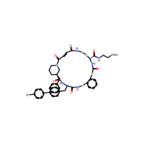 COCCNC(=O)[C@@H]1CCNC(=O)/C=C/C(=O)N2CCC[C@](Cc3ccccc3)(C2)C(=O)NC(Cc2ccc(-c3ccc(C(C)=O)cc3)cc2)C(=O)NCc2ccccc2CC(=O)N1